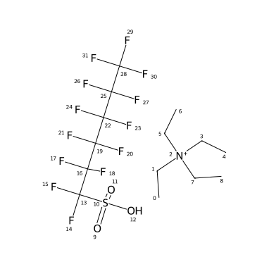 CC[N+](CC)(CC)CC.O=S(=O)(O)C(F)(F)C(F)(F)C(F)(F)C(F)(F)C(F)(F)C(F)(F)F